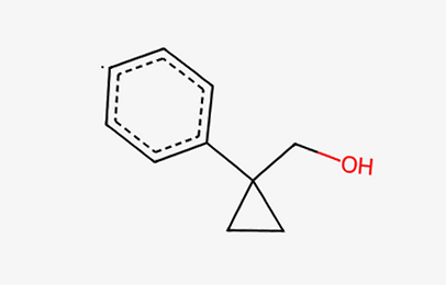 OCC1(c2cc[c]cc2)CC1